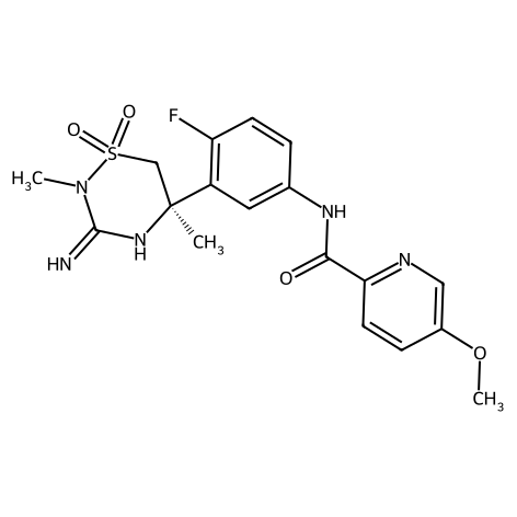 COc1ccc(C(=O)Nc2ccc(F)c([C@]3(C)CS(=O)(=O)N(C)C(=N)N3)c2)nc1